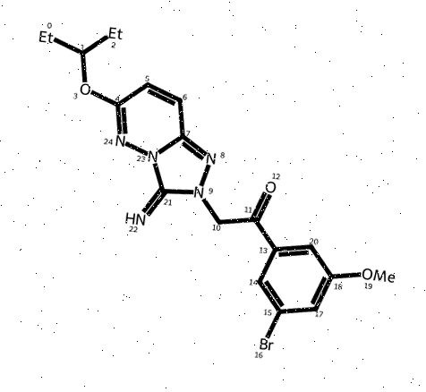 CCC(CC)Oc1ccc2nn(CC(=O)c3cc(Br)cc(OC)c3)c(=N)n2n1